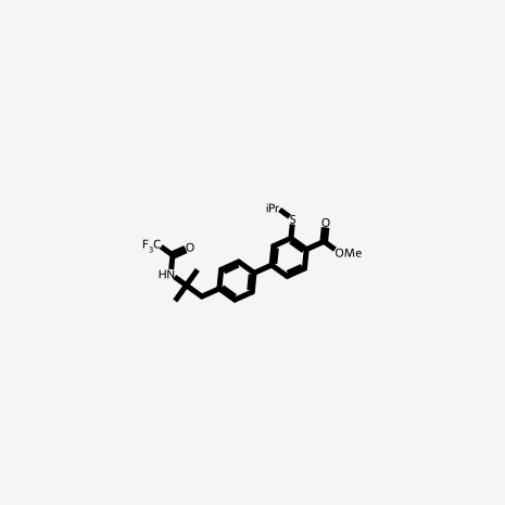 COC(=O)c1ccc(-c2ccc(CC(C)(C)NC(=O)C(F)(F)F)cc2)cc1SC(C)C